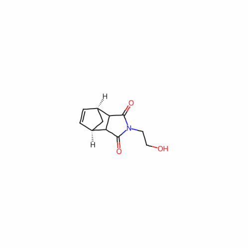 O=C1C2C(C(=O)N1CCO)[C@H]1C=C[C@@H]2C1